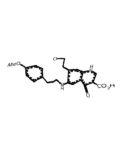 COc1ccc(CCNc2cc3c(=O)c(C(=O)O)c[nH]c3cc2CCCl)cc1